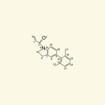 C=CC(=O)N1CCc2cc(-c3c(C)cccc3C)ccc21